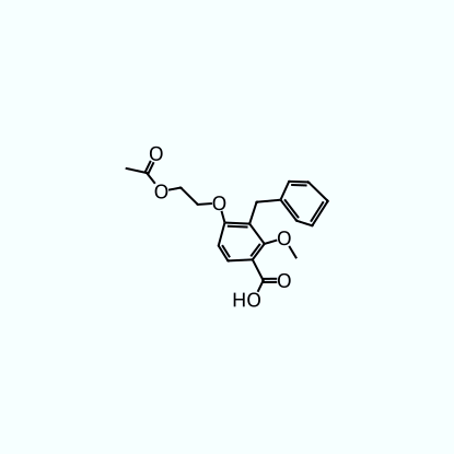 COc1c(C(=O)O)ccc(OCCOC(C)=O)c1Cc1ccccc1